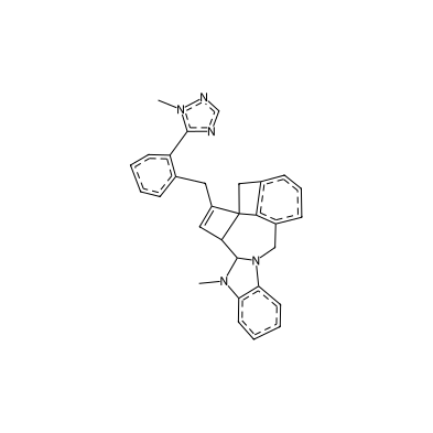 CN1c2ccccc2N2Cc3cccc4c3C3(C4)C(Cc4ccccc4-c4ncnn4C)=CC3C12